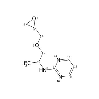 CC(COCC1CO1)Nc1ncccn1